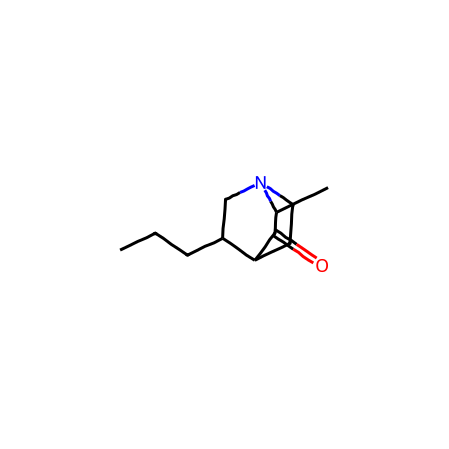 CCCC1CN2CCC1C(=O)C2C